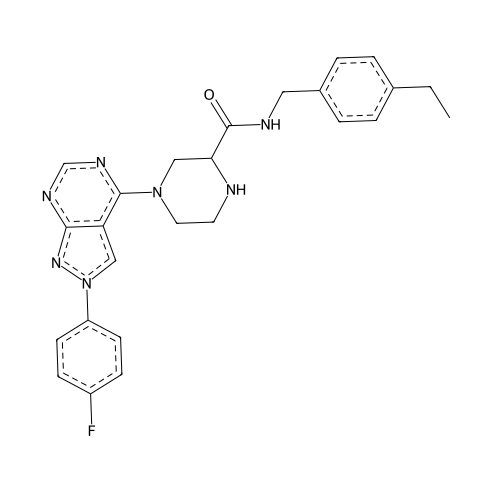 CCc1ccc(CNC(=O)C2CN(c3ncnc4nn(-c5ccc(F)cc5)cc34)CCN2)cc1